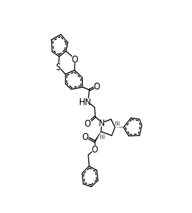 O=C(NCC(=O)N1C[C@H](c2ccccc2)C[C@H]1C(=O)OCc1ccccc1)c1ccc2c(c1)Oc1ccccc1S2